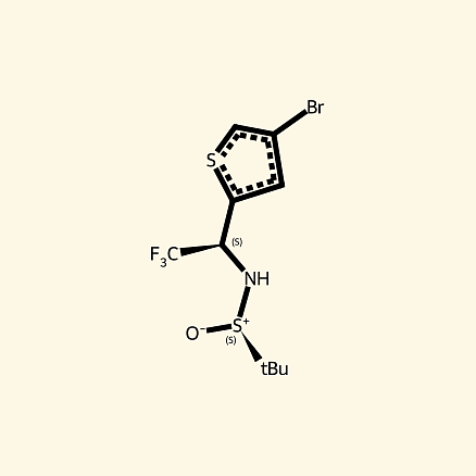 CC(C)(C)[S@@+]([O-])N[C@H](c1cc(Br)cs1)C(F)(F)F